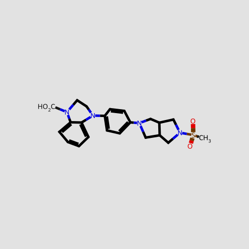 CS(=O)(=O)N1CC2CN(c3ccc(N4CCN(C(=O)O)c5ccccc54)cc3)CC2C1